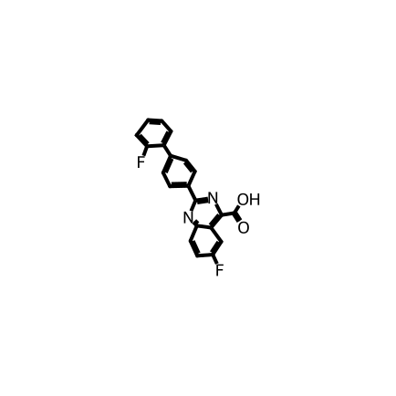 O=C(O)c1nc(-c2ccc(-c3ccccc3F)cc2)nc2ccc(F)cc12